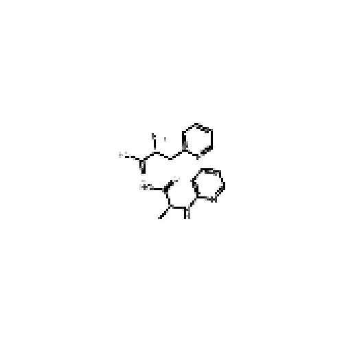 C[C@H](Nc1ccccn1)C(=O)O.N[C@@H](Cc1ccccn1)C(=O)O